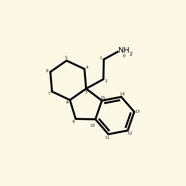 NCCC12CCCCC1Cc1ccccc12